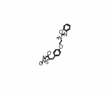 CN(CCOc1ccc(CC2S[N+]([O-])=NC2=O)cc1)c1nc2ccccc2o1